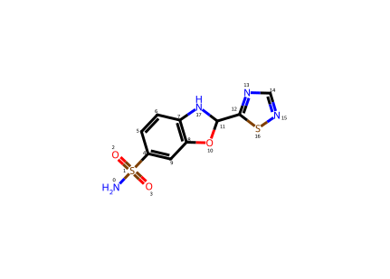 NS(=O)(=O)c1ccc2c(c1)OC(c1ncns1)N2